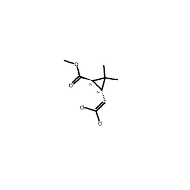 COC(=O)[C@@H]1[C@@H](C=C(Cl)Cl)C1(C)C